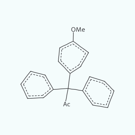 COc1ccc(C(C(C)=O)(c2ccccc2)c2ccccc2)cc1